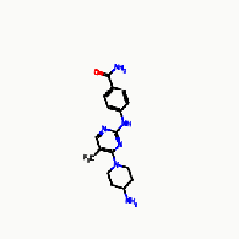 NC(=O)c1ccc(Nc2ncc(C(F)(F)F)c(N3CCC(N)CC3)n2)cc1